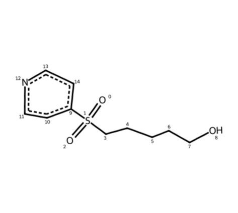 O=S(=O)(CCCCCO)c1ccncc1